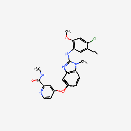 CNC(=O)c1cc(Oc2ccc3c(c2)nc(Nc2cc(C)c(Cl)cc2OC)n3C)ccn1